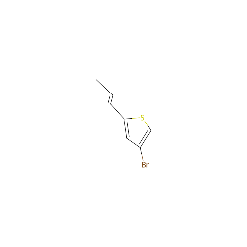 CC=Cc1cc(Br)cs1